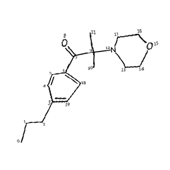 CCCc1ccc(C(=O)C(C)(C)N2CCOCC2)cc1